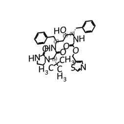 CC(C)(C)[C@@H](C(=O)N[C@@H](Cc1ccccc1)C[C@H](O)[C@H](Cc1ccccc1)NC(=O)OCc1cncs1)N1CCNC1=O